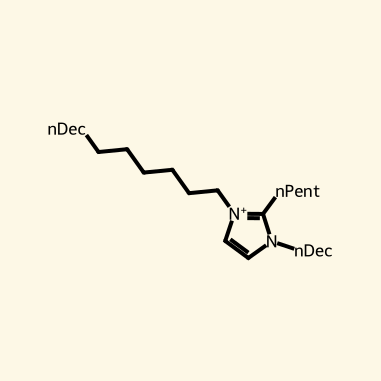 CCCCCCCCCCCCCCCC[n+]1ccn(CCCCCCCCCC)c1CCCCC